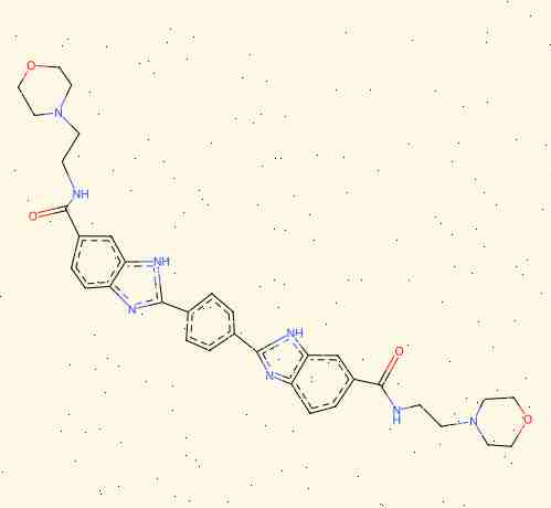 O=C(NCCN1CCOCC1)c1ccc2nc(-c3ccc(-c4nc5ccc(C(=O)NCCN6CCOCC6)cc5[nH]4)cc3)[nH]c2c1